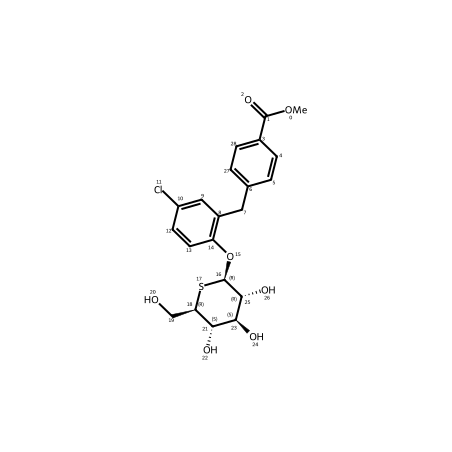 COC(=O)c1ccc(Cc2cc(Cl)ccc2O[C@@H]2S[C@H](CO)[C@@H](O)[C@H](O)[C@H]2O)cc1